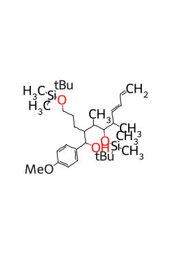 C=CC=CC(C)C(O[Si](C)(C)C(C)(C)C)C(C)C(CCCO[Si](C)(C)C(C)(C)C)C(O)c1ccc(OC)cc1